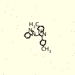 Cc1ccc(-c2nc3ccc(C)cn3c2Cn2cnc3ccccc32)cc1